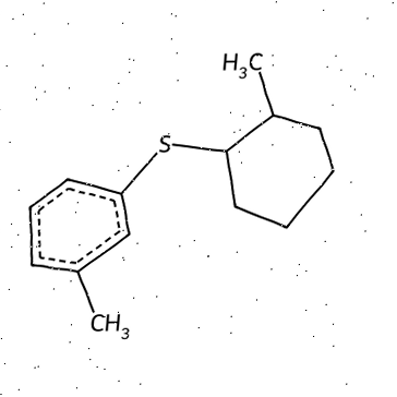 Cc1cccc(SC2CCCCC2C)c1